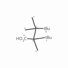 CC(C)(C)C(C)(C)C(C)(C(=O)O)C(C)(C)C